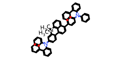 C[Si]1(C)c2cc(N(c3ccccc3)c3ccccc3-c3ccccc3)ccc2-c2ccc(-c3ccc(N(c4ccccc4)c4ccccc4-c4ccccc4)cc3)c3cccc1c23